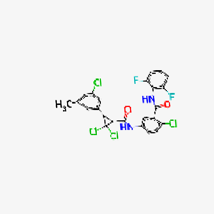 Cc1cc(Cl)cc([C@@H]2[C@@H](C(=O)Nc3ccc(Cl)c(C(=O)Nc4c(F)cccc4F)c3)C2(Cl)Cl)c1